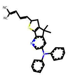 CC1(C)C2=C(SC(/C=C/C=C(C#N)C#N)C2)c2ncc(N(c3ccccc3)c3ccccc3)cc21